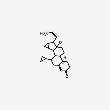 CCC12CCC3C(C(C4CC4)CC4=CC(=O)CC[C@@H]43)C1C1CC1C2/C=C\C(=O)O